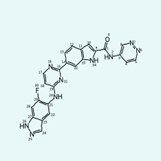 O=C(Nc1ccnnc1)c1cc2ccc(-c3nccc(Nc4cc5cn[nH]c5cc4F)n3)cc2[nH]1